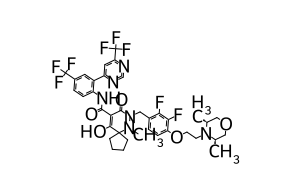 C[C@@H]1COC[C@H](C)N1CCOc1ccc(CN2C(=O)C(C(=O)Nc3ccc(C(F)(F)F)cc3-c3cc(C(F)(F)F)ncn3)=C(O)C3(CCCC3)N2C)c(F)c1F